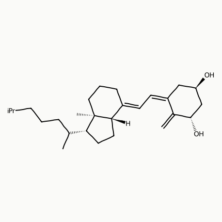 C=C1/C(=C\C=C2/CCC[C@]3(C)[C@@H](C(C)CCCC(C)C)CC[C@@H]23)C[C@@H](O)C[C@@H]1O